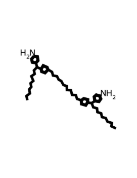 CCCCCCCCCCC(c1ccc(N)cc1)c1ccc(CCCCCCCCCCCCc2ccc(C(CCCCCCCCCC)c3ccc(N)cc3)cc2)cc1